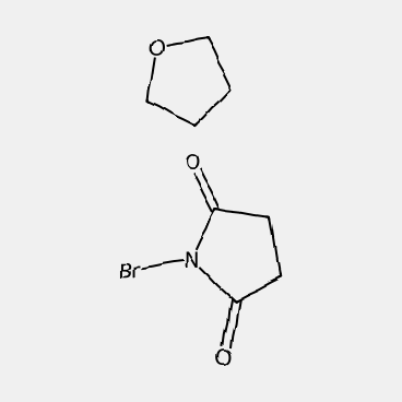 C1CCOC1.O=C1CCC(=O)N1Br